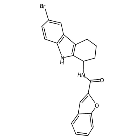 O=C(NC1CCCc2c1[nH]c1ccc(Br)cc21)c1cc2ccccc2o1